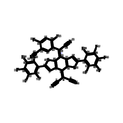 N#CC(C#N)=c1c2cc(-c3c(F)c(F)c(F)c(F)c3F)sc2/c(=C(/C#N)c2cc(C#N)c(F)cc2F)c2cc(-c3c(F)c(F)c(F)c(F)c3F)sc12